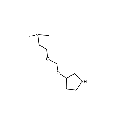 C[Si](C)(C)CCOCOC1CCNC1